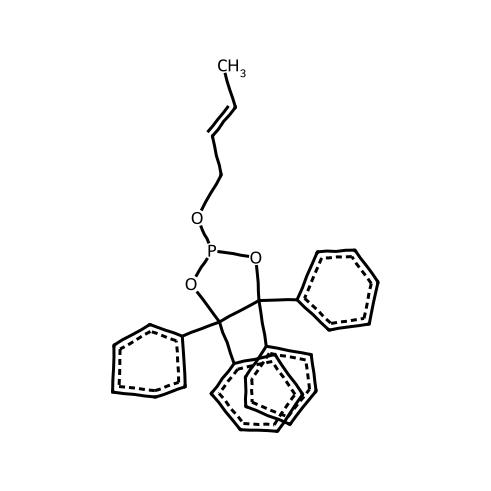 CC=CCOP1OC(c2ccccc2)(c2ccccc2)C(c2ccccc2)(c2ccccc2)O1